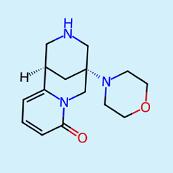 O=c1cccc2n1C[C@]1(N3CCOCC3)CNC[C@H]2C1